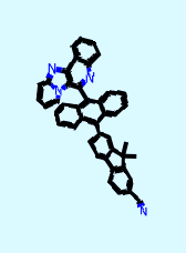 CC1(C)c2cc(C#N)ccc2-c2ccc(-c3c4ccccc4c(-c4nc5ccccc5c5nc6ccccn6c45)c4ccccc34)cc21